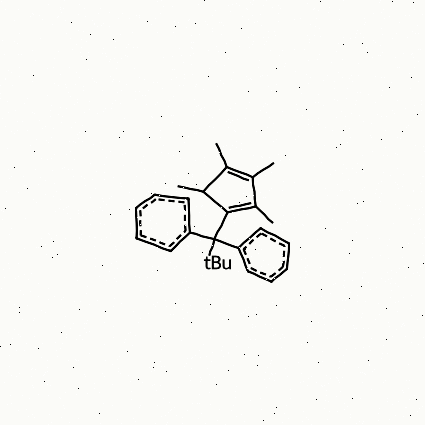 CC1=C(C)C(C)C(C(c2ccccc2)(c2ccccc2)C(C)(C)C)=C1C